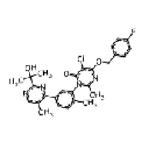 Cc1ccc(-c2nc(C(C)(C)O)ncc2C)cc1-n1c(C)nc(OCc2ccc(F)cc2)c(Cl)c1=O